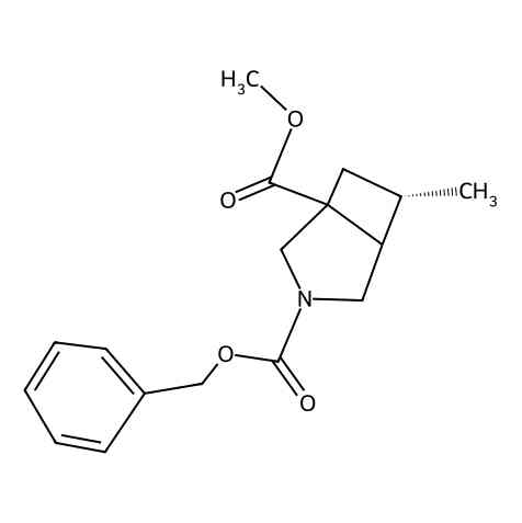 COC(=O)C12C[C@H](C)C1CN(C(=O)OCc1ccccc1)C2